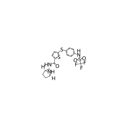 O=C(N[C@@H]1C[C@H]2CC[C@@H]1N2)c1ccc(Sc2ccc(NS(=O)(=O)C(F)(F)F)cc2)s1